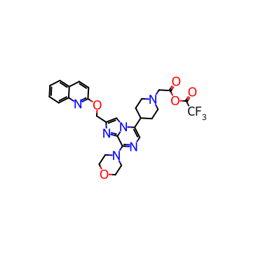 O=C(CN1CCC(c2cnc(N3CCOCC3)c3nc(COc4ccc5ccccc5n4)cn23)CC1)OC(=O)C(F)(F)F